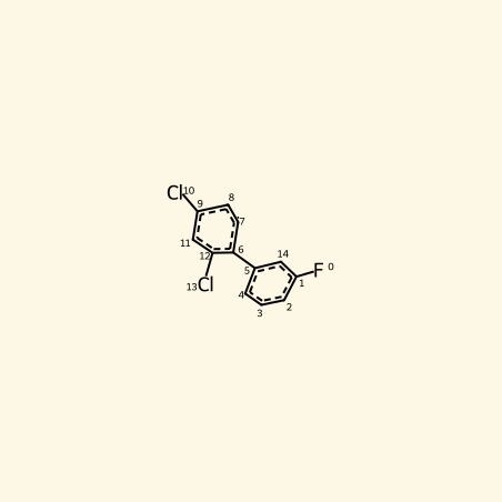 Fc1cccc(-c2[c]cc(Cl)cc2Cl)c1